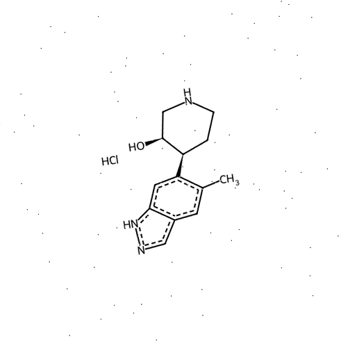 Cc1cc2cn[nH]c2cc1[C@@H]1CCNC[C@@H]1O.Cl